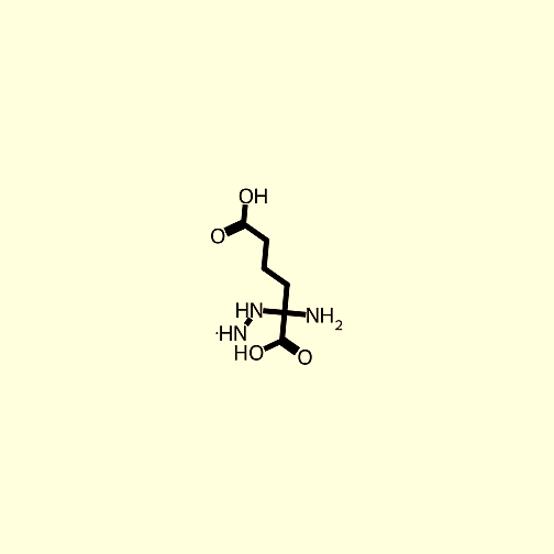 [NH]NC(N)(CCCC(=O)O)C(=O)O